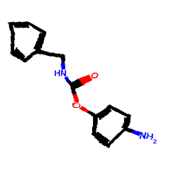 Nc1ccc(OC(=O)NCc2ccccc2)cc1